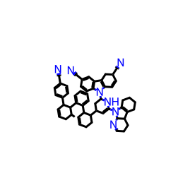 CC1CC=CC(c2ccc(C#N)cc2)C1c1ccccc1C1C=CCCC1C1C=C(N2C3=C(CCCC3)C3CCC=NC32)NC(n2c3c(c4cc(C#N)ccc42)CC(C#N)C=C3)C1